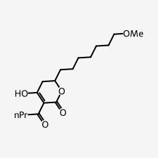 CCCC(=O)C1=C(O)CC(CCCCCCCOC)OC1=O